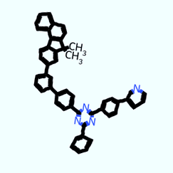 CC1(C)c2cc(-c3cccc(-c4ccc(-c5nc(-c6ccccc6)nc(-c6ccc(-c7cccnc7)cc6)n5)cc4)c3)ccc2-c2c1ccc1ccccc21